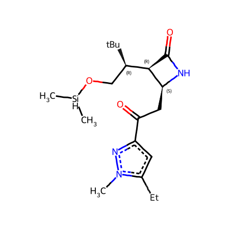 CCc1cc(C(=O)C[C@@H]2NC(=O)[C@@H]2[C@@H](CO[SiH](C)C)C(C)(C)C)nn1C